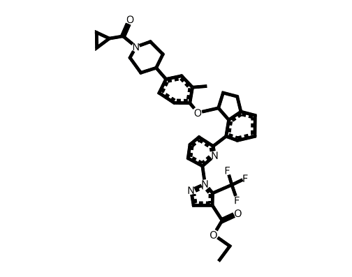 CCOC(=O)c1cnn(-c2cccc(-c3cccc4c3C(Oc3ccc(C5CCN(C(=O)C6CC6)CC5)cc3C)CC4)n2)c1C(F)(F)F